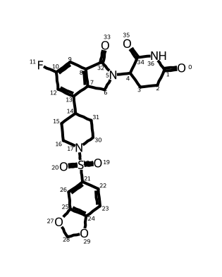 O=C1CCC(N2Cc3c(cc(F)cc3C3CCN(S(=O)(=O)c4ccc5c(c4)OCO5)CC3)C2=O)C(=O)N1